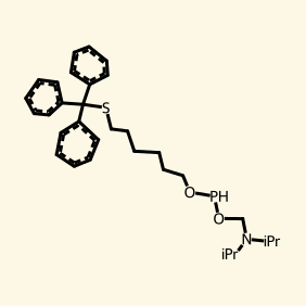 CC(C)N(COPOCCCCCCSC(c1ccccc1)(c1ccccc1)c1ccccc1)C(C)C